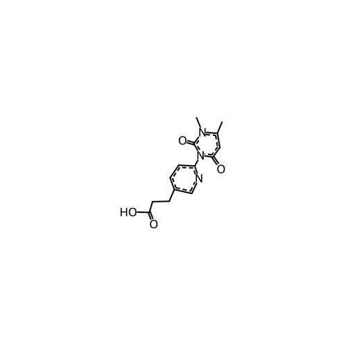 Cc1cc(=O)n(-c2ccc(CCC(=O)O)cn2)c(=O)n1C